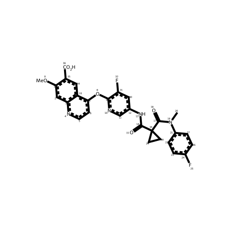 COc1cc2nccc(Oc3ncc(NC(=O)C4(C(=O)N(C)c5ccc(F)cc5)CC4)cc3F)c2cc1C(=O)O